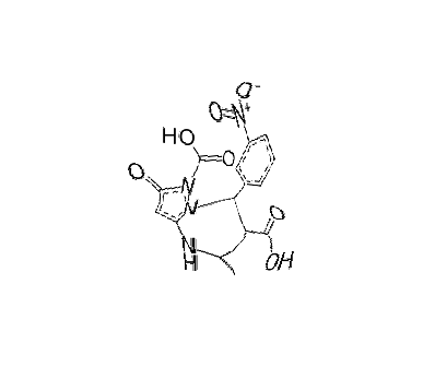 CC1Nc2cc(=O)n(C(=O)O)n2C(c2cccc([N+](=O)[O-])c2)C1C(=O)O